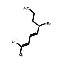 CCCCN(/C=C/C=C(C#N)C#N)CCOC(C)=O